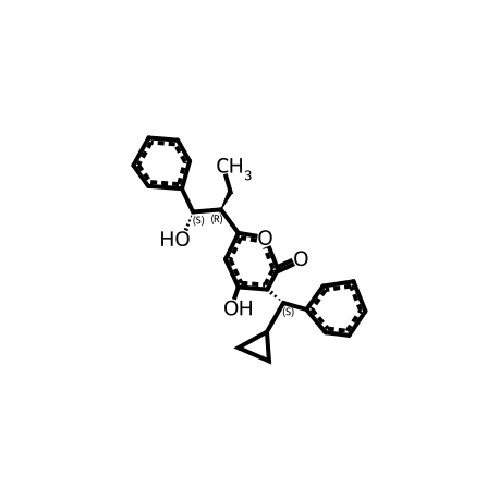 CC[C@@H](c1cc(O)c([C@H](c2ccccc2)C2CC2)c(=O)o1)[C@H](O)c1ccccc1